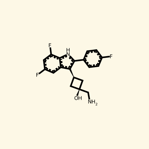 NC[C@]1(O)C[C@@H](c2c(-c3ccc(F)cc3)[nH]c3c(F)cc(F)cc32)C1